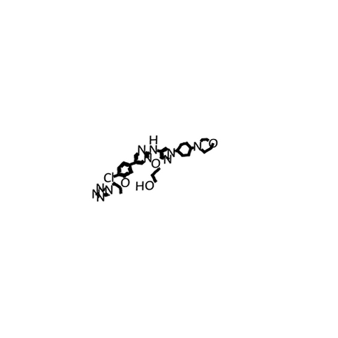 CC(Cn1cnnn1)Oc1cc(-c2cnc(Nc3cn(C4CCC(N5CCOCC5)CC4)nc3OCCCO)nc2)ccc1Cl